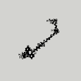 CCCCOP(=O)(O)OCCCOP(=O)(O)OCCOCCOCCOCCNC(=O)CCCCC(=O)N1Cc2ccccc2/C(NC(C)(N)CC)=C(/N)c2ccccc21